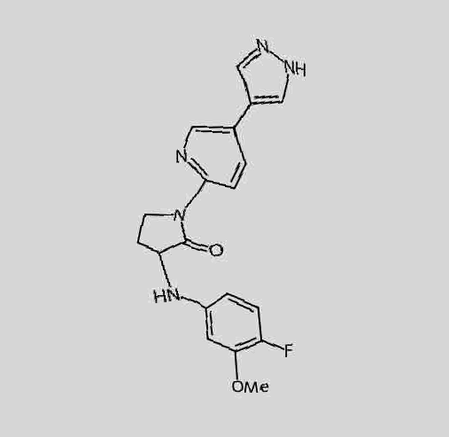 COc1cc(NC2CCN(c3ccc(-c4cn[nH]c4)cn3)C2=O)ccc1F